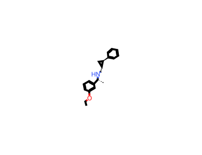 CCOc1cccc([C@@H](C)NC[C@@H]2C[C@H]2c2ccccc2)c1